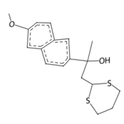 COc1ccc2cc(C(C)(O)CC3SCCCS3)ccc2c1